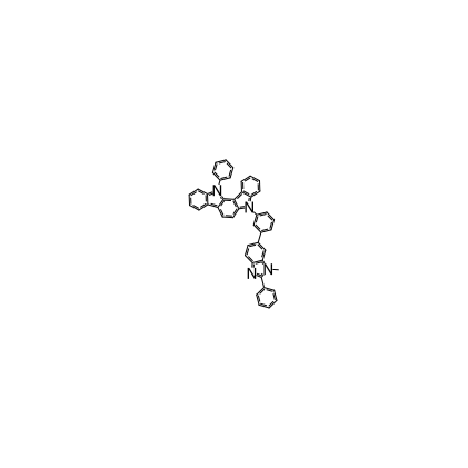 Cn1c(-c2ccccc2)nc2ccc(-c3cccc(-n4c5ccccc5c5c4ccc4c6ccccc6n(-c6ccccc6)c45)c3)cc21